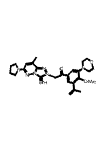 C=C(C)c1cc(C(=O)Cn2nc3c(C)cc(N4CCCC4)nn3c2=N)cc(N2CCOCC2)c1OC